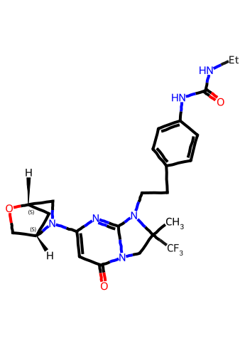 CCNC(=O)Nc1ccc(CCN2c3nc(N4C[C@@H]5C[C@H]4CO5)cc(=O)n3CC2(C)C(F)(F)F)cc1